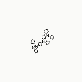 c1ccc(-c2nc3ccccc3n2-c2ccc(-n3c4ccccc4c4c3ccc3c5ccccc5n(-c5ccccc5)c34)cc2)cc1